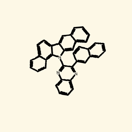 c1ccc2cc(-c3nc4ccccc4nc3-n3c4cc5ccccc5cc4c4ccc5ccccc5c43)ccc2c1